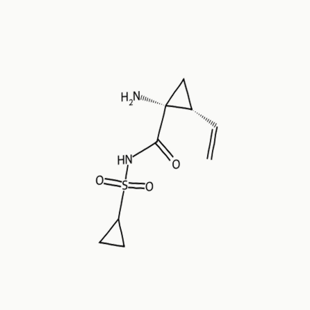 C=C[C@H]1C[C@]1(N)C(=O)NS(=O)(=O)C1CC1